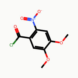 COc1cc(C(=O)Cl)c([N+](=O)[O-])cc1OC